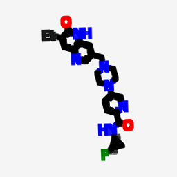 CCc1cc2ncc(CN3CCN(c4ccc(C(=O)N[C@H]5C[C@H]5F)nc4)CC3)cc2[nH]c1=O